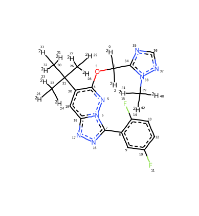 [2H]C([2H])(Oc1nn2c(-c3cc(F)ccc3F)nnc2cc1C(C([2H])([2H])[2H])(C([2H])([2H])[2H])C([2H])([2H])[2H])c1ncnn1C([2H])([2H])[2H]